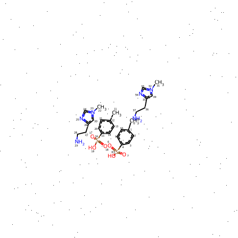 Cc1ccc(S(=O)(=O)O)cc1.Cc1ccc(S(=O)(=O)O)cc1.Cn1cnc(CCN)c1.Cn1cnc(CCN)c1